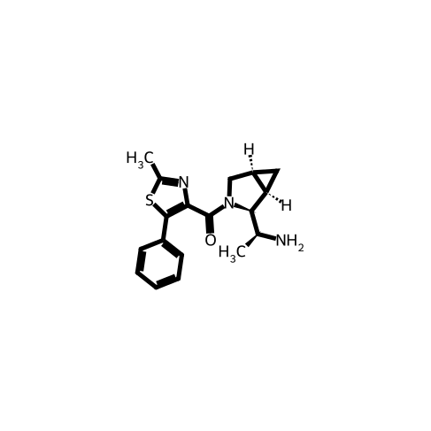 Cc1nc(C(=O)N2C[C@H]3C[C@H]3[C@H]2[C@H](C)N)c(-c2ccccc2)s1